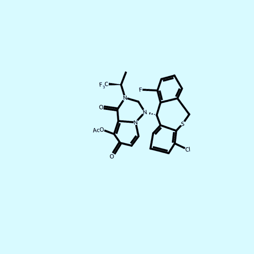 CC(=O)Oc1c2n(ccc1=O)N([C@H]1c3cccc(Cl)c3SCc3cccc(F)c31)CN([C@H](C)C(F)(F)F)C2=O